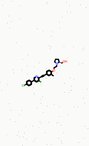 Cc1cc(C#Cc2ncc(-c3ccc(Cl)cc3)cc2F)ccc1OCCN1CCC[C@H]1CO